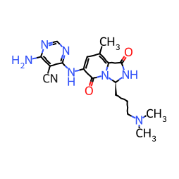 Cc1cc(Nc2ncnc(N)c2C#N)c(=O)n2c1C(=O)N[C@H]2CCCN(C)C